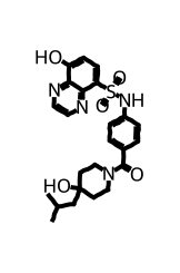 CC(C)CC1(O)CCN(C(=O)c2ccc(NS(=O)(=O)c3ccc(O)c4nccnc34)cc2)CC1